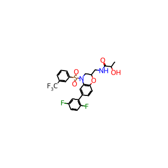 CC(O)C(=O)NCC1CN(S(=O)(=O)c2cccc(C(F)(F)F)c2)c2cc(-c3cc(F)ccc3F)ccc2O1